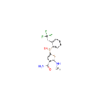 CNc1sc([S+]([O-])c2ccccc2CC(F)(F)F)cc1C(N)=O